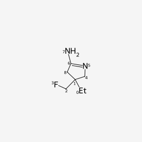 CCC1(CF)CN=C(N)C1